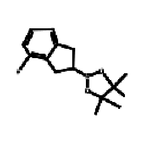 CC1(C)OB(C2Cc3cccc(F)c3C2)OC1(C)C